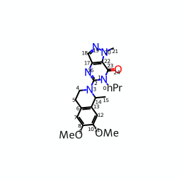 CCCn1c(N2CCc3cc(OC)c(OC)cc3C2C)nc2cnn(C)c2c1=O